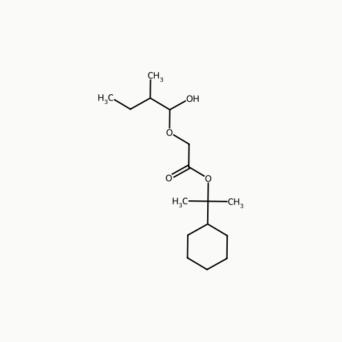 CCC(C)C(O)OCC(=O)OC(C)(C)C1CCCCC1